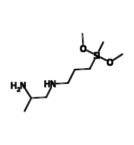 CO[Si](C)(CCCNCC(C)N)OC